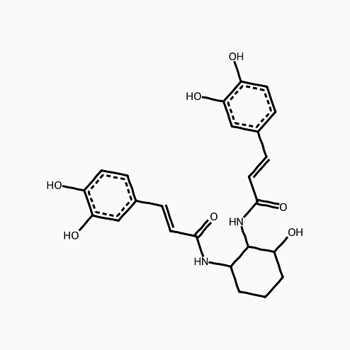 O=C(C=Cc1ccc(O)c(O)c1)NC1CCCC(O)C1NC(=O)C=Cc1ccc(O)c(O)c1